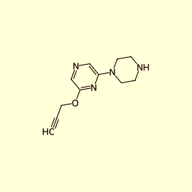 C#CCOc1cncc(N2CCNCC2)n1